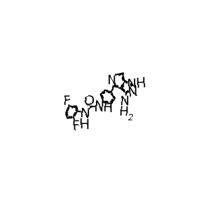 Nc1n[nH]c2ccnc(-c3ccc(NC(=O)Nc4cc(F)ccc4F)cc3)c12